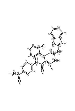 CC1=C(C(=O)Nc2ccc(C(N)=O)cc2)C(c2ccccc2Cl)N=C(Nc2nc3ccccc3o2)N1